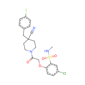 CNS(=O)(=O)c1cc(Cl)ccc1OCC(=O)N1CCC(C#N)(Cc2ccc(F)cc2)CC1